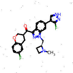 CN1CC[C@H]1Cn1nc(C(=O)C2COc3ccc(F)cc3C2)c2ccc(-c3c[nH]nc3F)cc21